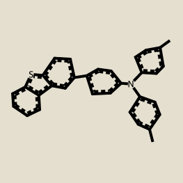 Cc1ccc(N(c2ccc(C)cc2)c2ccc(-c3ccc4sc5ccccc5c4c3)cc2)cc1